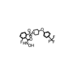 O=C(NO)c1c(F)cccc1S(=O)(=O)N1CCC(Oc2ccc(C(F)(F)F)cc2)CC1